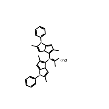 CC1=CC2C(=CC(C)=[C]2[Zr+2]([C]2=C(C)C=C3C2C=C(C)P3c2ccccc2)=[C](C)C)P1c1ccccc1.[Cl-].[Cl-]